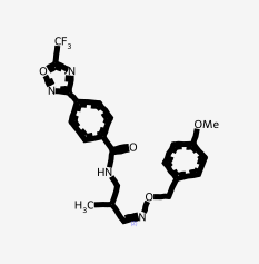 COc1ccc(CO/N=C\C(C)CNC(=O)c2ccc(-c3noc(C(F)(F)F)n3)cc2)cc1